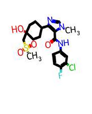 Cn1cnc(C2CCC(O)(CS(C)(=O)=O)CC2)c1C(=O)Nc1ccc(F)c(Cl)c1